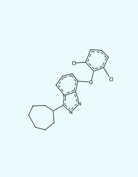 Clc1cccc(Cl)c1Oc1cccn2c(C3CCCCCC3)nnc12